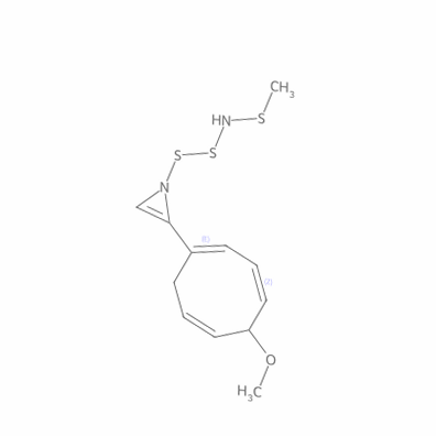 COC1C=CC/C(C2=CN2SSNSC)=C\C=C/1